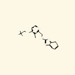 Cc1c(OCC(F)(F)F)ccnc1C[S+]([O-])C1=NC2=CC=CCC2=N1